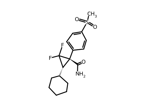 CS(=O)(=O)c1ccc([C@]2(C(N)=O)[C@H](C3CCCCC3)C2(F)F)cc1